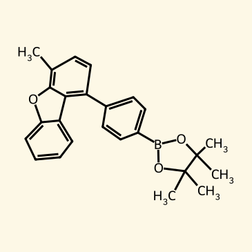 Cc1ccc(-c2ccc(B3OC(C)(C)C(C)(C)O3)cc2)c2c1oc1ccccc12